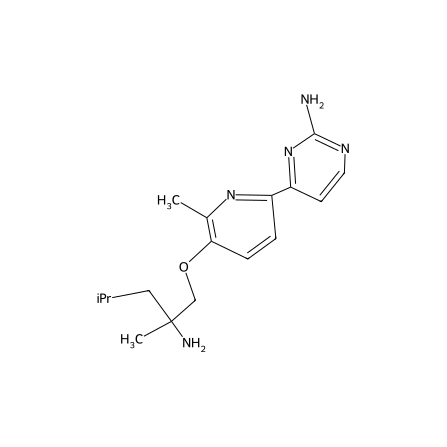 Cc1nc(-c2ccnc(N)n2)ccc1OCC(C)(N)CC(C)C